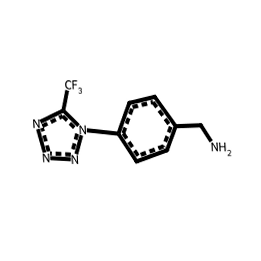 NCc1ccc(-n2nnnc2C(F)(F)F)cc1